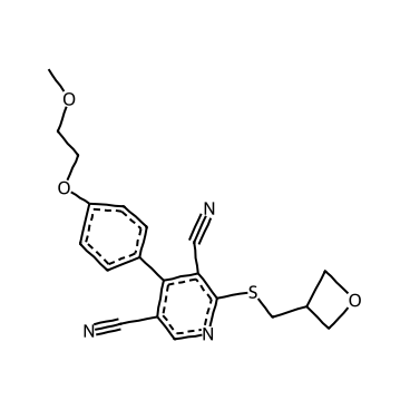 COCCOc1ccc(-c2c(C#N)cnc(SCC3COC3)c2C#N)cc1